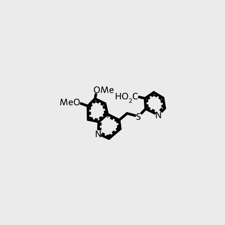 COc1cc2nccc(CSc3ncccc3C(=O)O)c2cc1OC